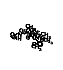 COc1cccc(OC)c1-c1cc(C(=O)N[C@@H](CC(C)C)CC(O)NCc2ncco2)nn1C(C)C(C)C